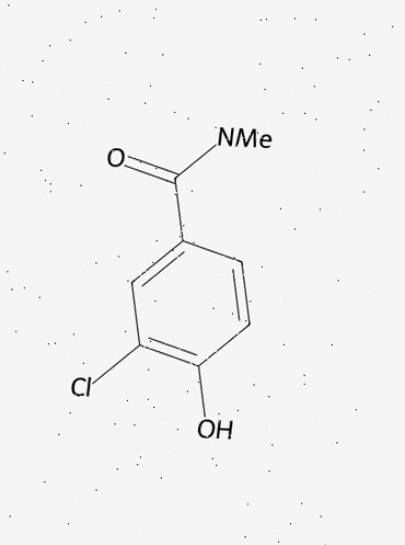 [CH2-][NH2+]C(=O)c1ccc(O)c(Cl)c1